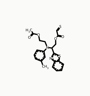 CC(=O)OCCN(c1cccc(C)c1)C(COC(=O)C=S)c1nc2ccccc2s1